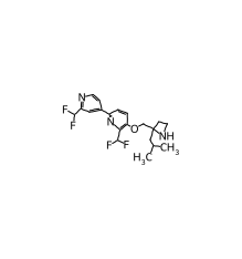 CC(C)CC1(COc2ccc(-c3ccnc(C(F)F)c3)nc2C(F)F)CCN1